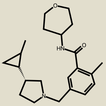 Cc1ccc(CN2CC[C@H](C3CC3C)C2)cc1C(=O)NC1CCOCC1